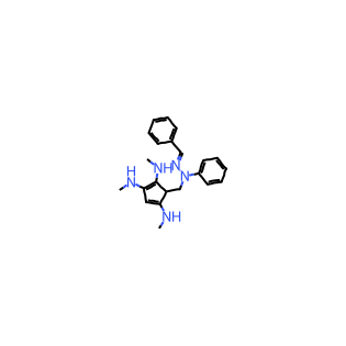 CNC1=CC(NC)=C(NC)C1CN(N=Cc1ccccc1)c1ccccc1